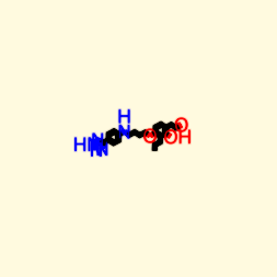 CCCc1c(OCCCCNc2ccc(-c3nn[nH]n3)cc2)ccc(CC=O)c1O